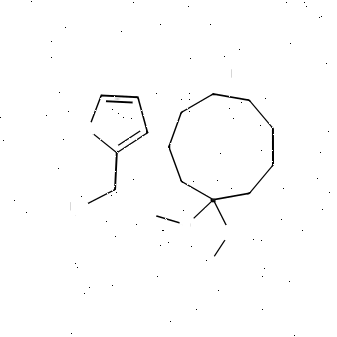 CCOC1(OCC)CCCCCCCC1.Cl.PCc1cccs1